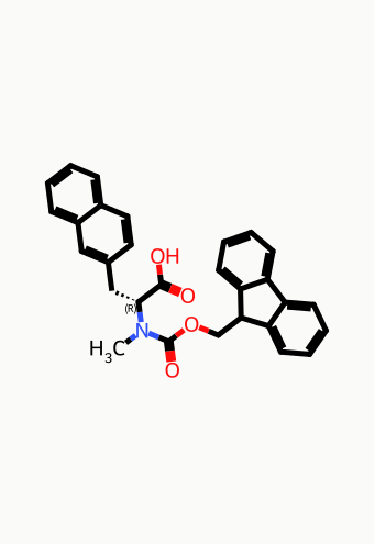 CN(C(=O)OCC1c2ccccc2-c2ccccc21)[C@H](Cc1ccc2ccccc2c1)C(=O)O